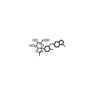 CC1=NC2(c3ccc(C)c(Cc4ccc5c(ccn5C)c4)c3)O[C@H](CO)[C@@H](O)[C@H](O)C2O1